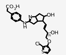 O=C(O)Cc1ccc(NC2=NC3CC(O)C(C=C[C@H](O)COc4ccsc4Cl)C3C2)cc1